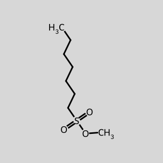 CCCCCCCS(=O)(=O)OC